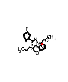 CCC[C@@H]1COc2ccccc2[C@@]12SC(c1cc(F)ccc1F)=NN2C(=O)COC